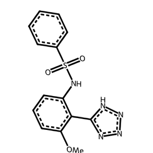 COc1cccc(NS(=O)(=O)c2ccccc2)c1-c1nnn[nH]1